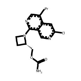 CC(C)c1cnc(N2CC[C@H]2COC(N)=O)c2cnc(Cl)cc12